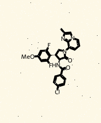 COc1cc(F)c([C@@H]2CN(c3cccn4cc(C)nc34)C(=O)[C@H]2NC(=O)c2ccc(Cl)cc2)c(F)c1